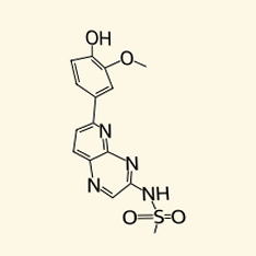 COc1cc(-c2ccc3ncc(NS(C)(=O)=O)nc3n2)ccc1O